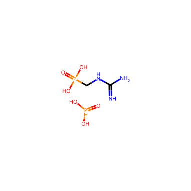 N=C(N)NCP(=O)(O)O.O=[PH](O)O